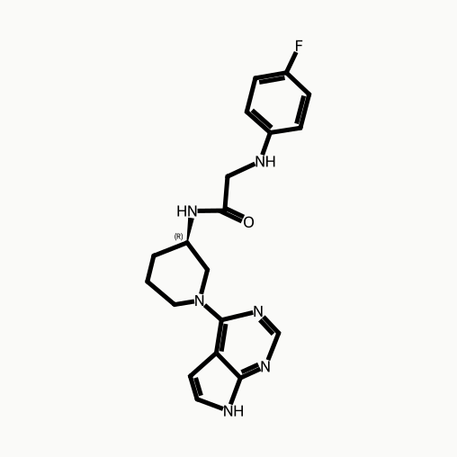 O=C(CNc1ccc(F)cc1)N[C@@H]1CCCN(c2ncnc3[nH]ccc23)C1